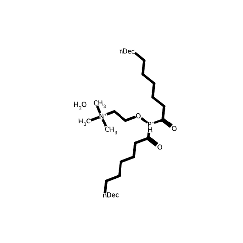 CCCCCCCCCCCCCCCC(=O)[PH-](OCC[N+](C)(C)C)C(=O)CCCCCCCCCCCCCCC.O